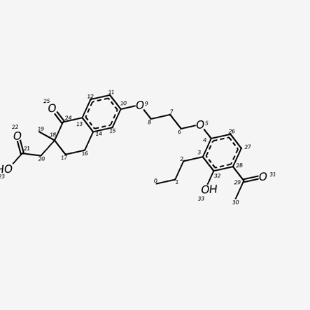 CCCc1c(OCCCOc2ccc3c(c2)CCC(C)(CC(=O)O)C3=O)ccc(C(C)=O)c1O